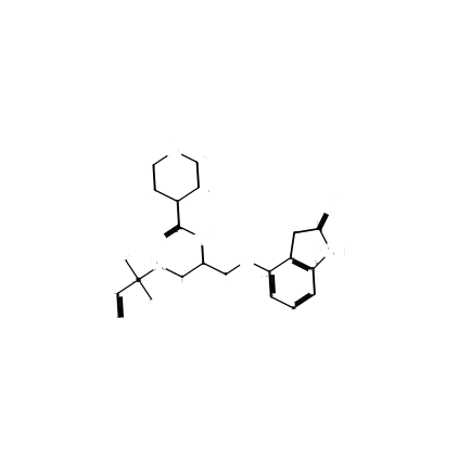 C=CC(C)(C)NCC(COc1cccc2c1CC(=O)N2)OC(=O)C1CCOCC1